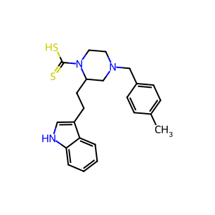 Cc1ccc(CN2CCN(C(=S)S)C(CCc3c[nH]c4ccccc34)C2)cc1